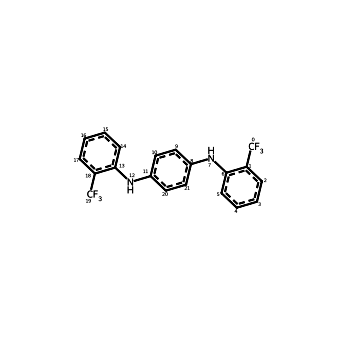 FC(F)(F)c1ccccc1Nc1ccc(Nc2ccccc2C(F)(F)F)cc1